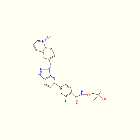 Cc1cc(-c2ccc3nnn(Cc4ccc5c(ccc[n+]5[O-])c4)c3n2)ccc1C(=O)NOCC(C)(C)O